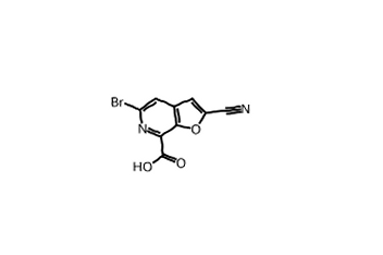 N#Cc1cc2cc(Br)nc(C(=O)O)c2o1